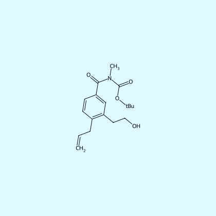 C=CCc1ccc(C(=O)N(C)C(=O)OC(C)(C)C)cc1CCO